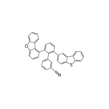 N#Cc1cccc(-c2c(-c3ccc4sc5ccccc5c4c3)cccc2-c2cccc3oc4ccccc4c23)c1